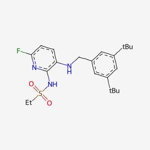 CCS(=O)(=O)Nc1nc(F)ccc1NCc1cc(C(C)(C)C)cc(C(C)(C)C)c1